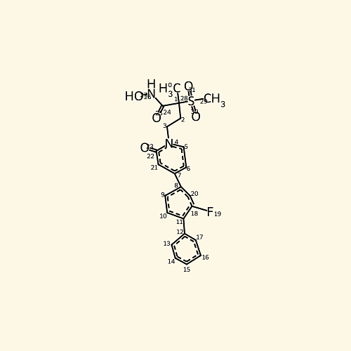 CC(CCn1ccc(-c2ccc(-c3ccccc3)c(F)c2)cc1=O)(C(=O)NO)S(C)(=O)=O